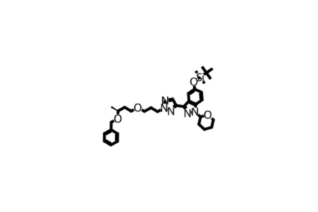 C[C@@H](CCOCCCn1ncc(-c2nn(C3CCCCO3)c3ccc(O[Si](C)(C)C(C)(C)C)cc23)n1)OCc1ccccc1